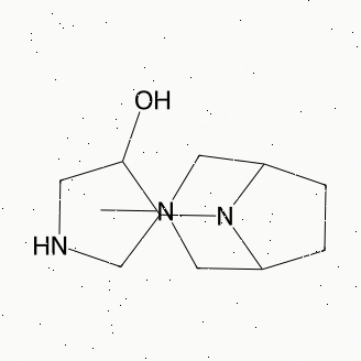 CN1CC2CCC(C1)N2C1CNCC1O